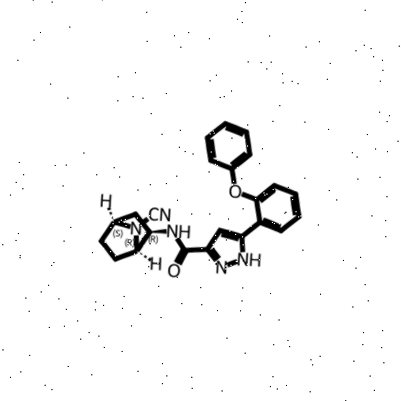 N#CN1[C@H]2CC[C@@H]1[C@H](NC(=O)c1cc(-c3ccccc3Oc3ccccc3)[nH]n1)C2